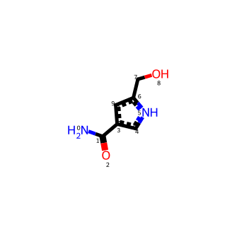 NC(=O)c1c[nH]c(CO)c1